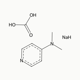 CN(C)c1ccncc1.O=C(O)O.[NaH]